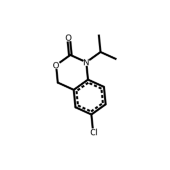 CC(C)N1C(=O)OCc2cc(Cl)ccc21